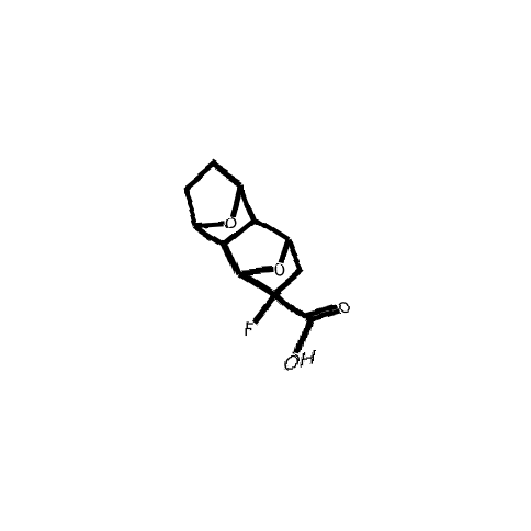 O=C(O)C1(F)CC2OC1C1C3CCC(O3)C21